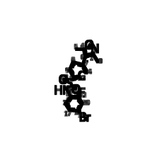 Cc1noc(C)c1-c1ccc(S(=O)(=O)Nc2ccc(Br)cc2F)cc1